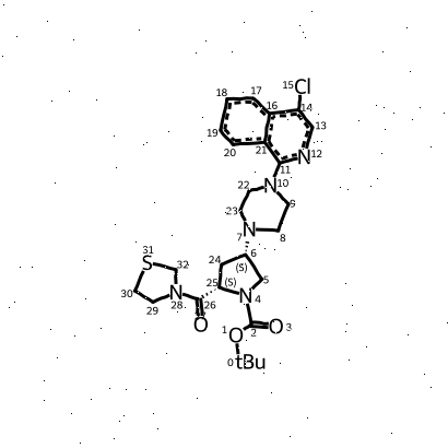 CC(C)(C)OC(=O)N1C[C@@H](N2CCN(c3ncc(Cl)c4ccccc34)CC2)C[C@H]1C(=O)N1CCSC1